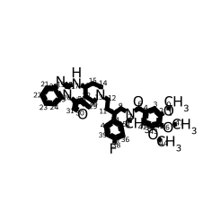 COc1cc(C(=O)N(C)CC(CCN2CCC(Nc3nc4ccccc4n3-c3ccoc3)CC2)c2ccc(F)cc2)cc(OC)c1OC